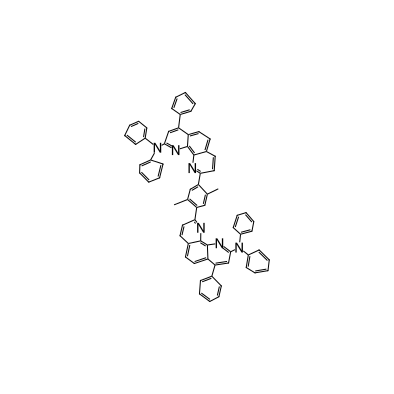 Cc1cc(-c2ccc3ccc4c(-c5ccccc5)cc(N(c5ccccc5)c5ccccc5)nc4c3n2)c(C)cc1-c1ccc2ccc3c(-c4ccccc4)cc(N(c4ccccc4)c4ccccc4)nc3c2n1